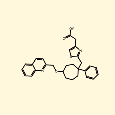 O=C(O)Cc1csc(CC2(c3ccccc3)CCCC(OCc3ccc4ccccc4n3)CC2)n1